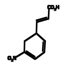 O=C(O)C=CC1C=CC=C([N+](=O)[O-])C1